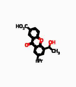 CCCc1cc(C(C)O)c2oc3ccc(C(=O)O)cc3c(=O)c2c1